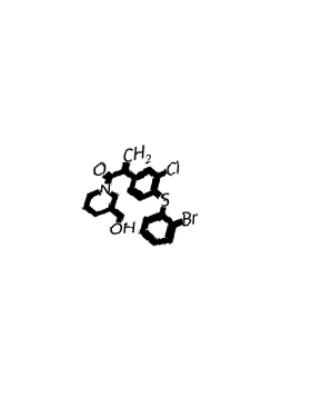 C=C(C(=O)N1CCCC(CO)C1)c1ccc(Sc2ccccc2Br)c(Cl)c1